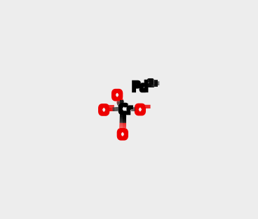 [O]=[Cr](=[O])([O-])[O-].[Pd+2]